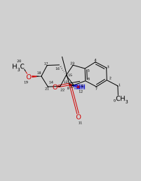 CCc1ccc2c(c1)C1(NC(=O)NC1=O)[C@]1(CC[C@H](OC)CC1)C2